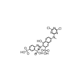 CN(c1ccc2c(O)c(N=Nc3ccc(S(=O)(=O)O)cc3S(=O)(=O)O)c(S(=O)(=O)O)cc2c1)c1nc(Cl)nc(Cl)n1